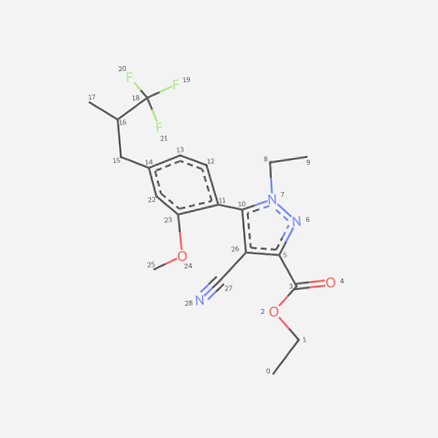 CCOC(=O)c1nn(CC)c(-c2ccc(CC(C)C(F)(F)F)cc2OC)c1C#N